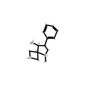 CN1CC(c2ccccc2)C(S)C12COC2